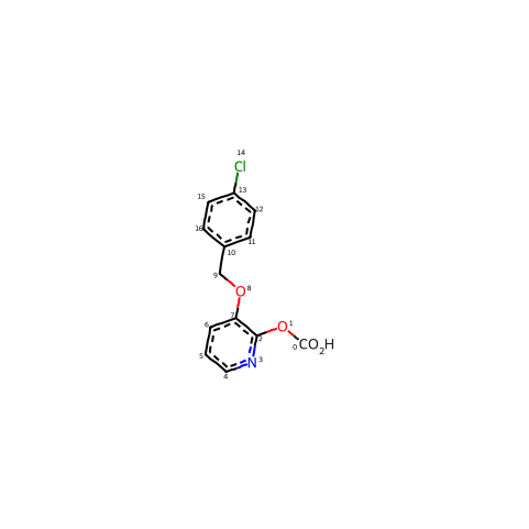 O=C(O)Oc1ncccc1OCc1ccc(Cl)cc1